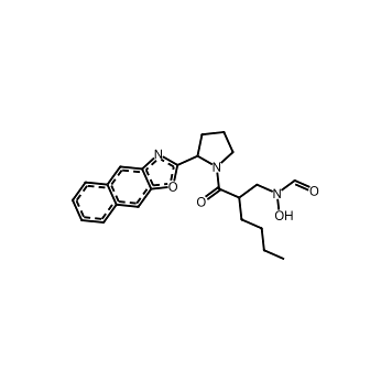 CCCCC(CN(O)C=O)C(=O)N1CCCC1c1nc2cc3ccccc3cc2o1